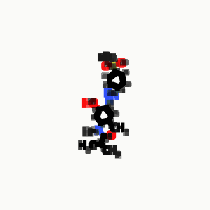 C=C(C)C(=O)N(CC)c1cc(O)c(-n2n3c4ccc(S(=O)(=O)CCCC)cc4n23)cc1C